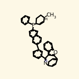 C[C@H]1C=CC(P(c2ccccc2)c2ccc3cc(-c4cccc(/C5=N/C6C=CC(=CC6)c6oc7ccccc7c65)c4)ccc3c2)CC1